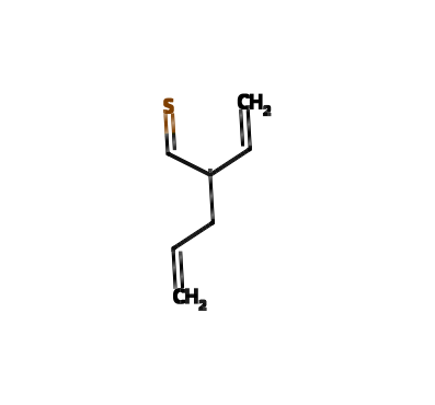 C=CC[C](C=C)C=S